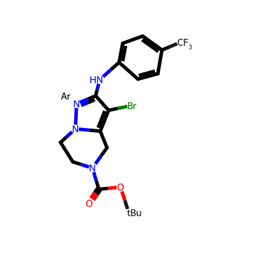 CC(C)(C)OC(=O)N1CCn2nc(Nc3ccc(C(F)(F)F)cc3)c(Br)c2C1.[Ar]